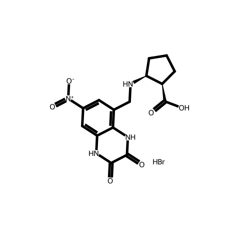 Br.O=C(O)[C@@H]1CCC[C@@H]1NCc1cc([N+](=O)[O-])cc2[nH]c(=O)c(=O)[nH]c12